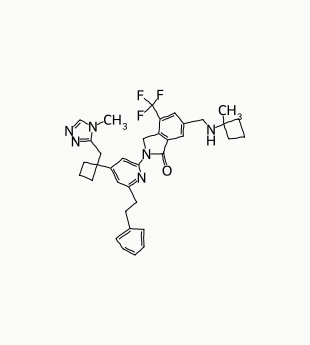 Cn1cnnc1CC1(c2cc(CCc3ccccc3)nc(N3Cc4c(cc(CNC5(C)CCC5)cc4C(F)(F)F)C3=O)c2)CCC1